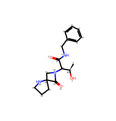 C[C@@H](O)C(C(=O)NCc1ccccc1)N1CC2(CCCN2)C1=O